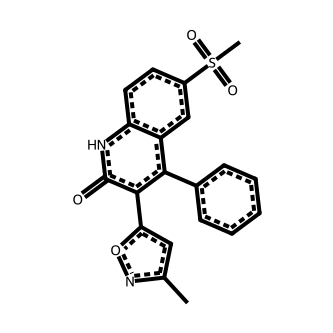 Cc1cc(-c2c(-c3ccccc3)c3cc(S(C)(=O)=O)ccc3[nH]c2=O)on1